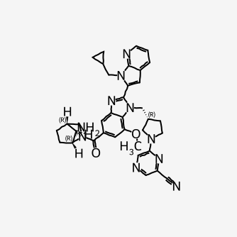 COc1cc(C(=O)N2C[C@H]3CC[C@@H]2[C@@H]3N)cc2nc(-c3cc4cccnc4n3CC3CC3)n(C[C@@H]3CCN(c4cncc(C#N)n4)C3)c12